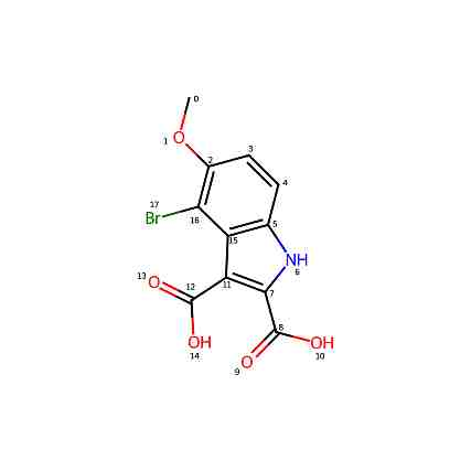 COc1ccc2[nH]c(C(=O)O)c(C(=O)O)c2c1Br